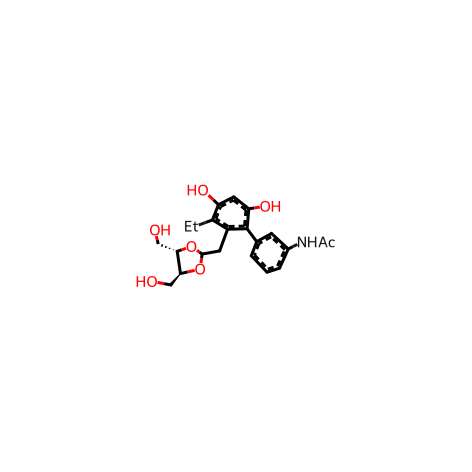 CCc1c(O)cc(O)c(-c2cccc(NC(C)=O)c2)c1CC1O[C@@H](CO)[C@H](CO)O1